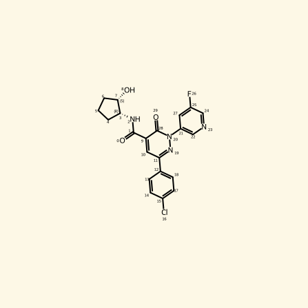 O=C(N[C@@H]1CCC[C@@H]1O)c1cc(-c2ccc(Cl)cc2)nn(-c2cncc(F)c2)c1=O